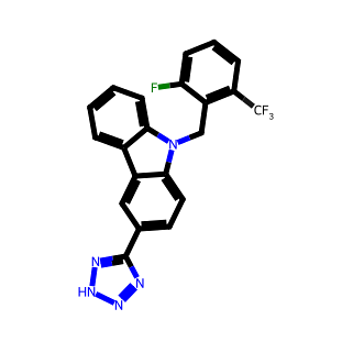 Fc1cccc(C(F)(F)F)c1Cn1c2ccccc2c2cc(-c3nn[nH]n3)ccc21